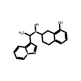 CCCN(C1CCc2cccc(O)c2C1)C(C)c1cnn2ccccc12